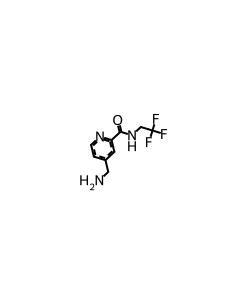 NCc1ccnc(C(=O)NCC(F)(F)F)c1